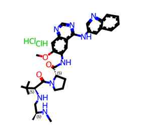 CN[C@@H](C)CN[C@H](C(=O)N1CCC[C@H]1C(=O)Nc1cc2c(Nc3cnc4ccccc4c3)ncnc2cc1OC)C(C)(C)C.Cl.Cl